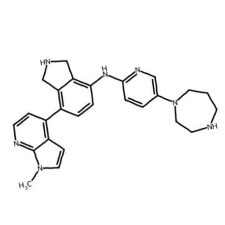 Cn1ccc2c(-c3ccc(Nc4ccc(N5CCCNCC5)cn4)c4c3CNC4)ccnc21